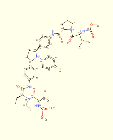 CC[C@@H](C(=O)Nc1ccc([C@@H]2CC[C@@H](c3ccc(NC(=O)[C@@H]4CCCN4C(=O)[C@@H](NC(=O)OC)C(C)C)cc3)N2c2ccc(F)cc2)cc1)N(CC)C(=O)[C@@H](NC(=O)OC)C(C)C